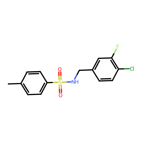 Cc1[c]cc(S(=O)(=O)NCc2ccc(Cl)c(F)c2)cc1